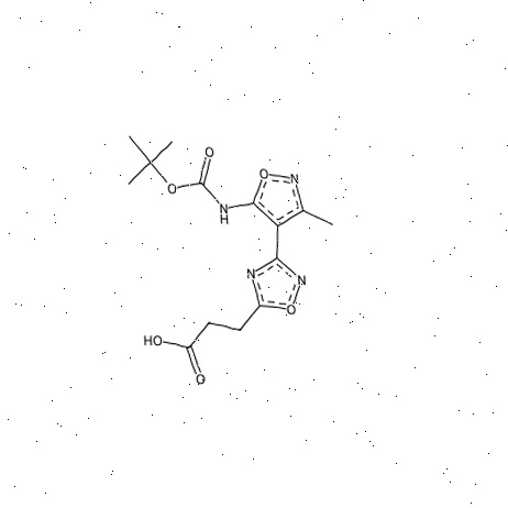 Cc1noc(NC(=O)OC(C)(C)C)c1-c1noc(CCC(=O)O)n1